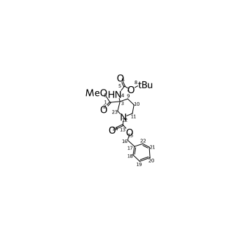 COC(=O)C1(NC(=O)OC(C)(C)C)CCCN(C(=O)OCc2ccccc2)C1